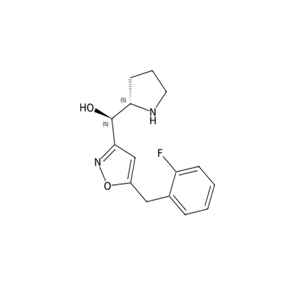 O[C@H](c1cc(Cc2ccccc2F)on1)[C@@H]1CCCN1